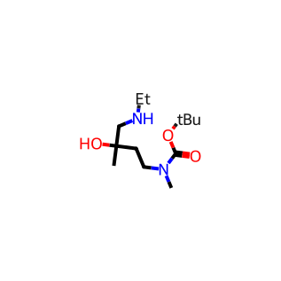 CCNCC(C)(O)CCN(C)C(=O)OC(C)(C)C